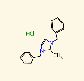 CC1N(Cc2ccccc2)C=CN1Cc1ccccc1.Cl